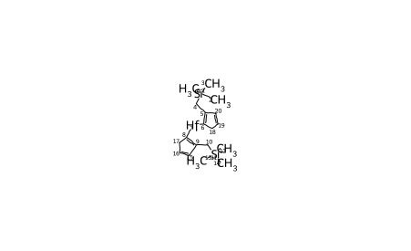 C[Si](C)(C)CC1=[C]([Hf][C]2=C(C[Si](C)(C)C)C=CC2)CC=C1